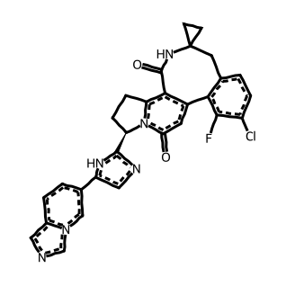 O=C1NC2(CC2)Cc2ccc(Cl)c(F)c2-c2cc(=O)n3c(c21)CC[C@@H]3c1ncc(-c2ccc3cncn3c2)[nH]1